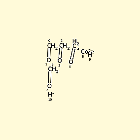 C=O.C=O.C=O.C=O.[Co+2].[H-].[H-]